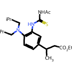 CCOC(=O)CC(C)c1ccc(N(CC(C)C)CC(C)C)c(NC(=S)NC(C)=O)c1